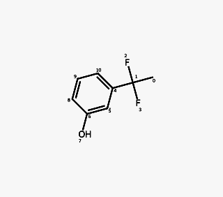 CC(F)(F)c1[c]c(O)ccc1